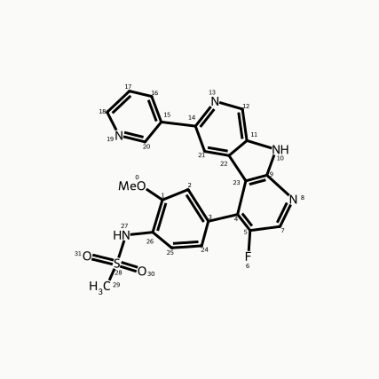 COc1cc(-c2c(F)cnc3[nH]c4cnc(-c5cccnc5)cc4c23)ccc1NS(C)(=O)=O